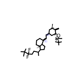 C=C1[C@H](C)C/C(=C/C=C2\CCC[C@@]3(C)C2CCC3C(C)CCC(F)(F)C(C)(C)C)C[C@H]1O[Si](C)(C)C(C)(C)C